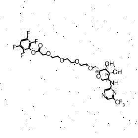 O=C(COCCOCCOCCOC[C@H]1OC[C@H](Nc2cncc(C(F)(F)F)n2)[C@@H](O)[C@H]1O)Oc1c(F)c(F)cc(F)c1F